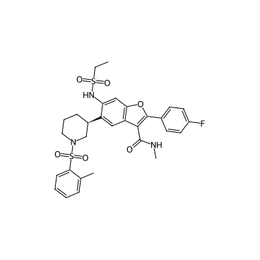 CCS(=O)(=O)Nc1cc2oc(-c3ccc(F)cc3)c(C(=O)NC)c2cc1[C@@H]1CCCN(S(=O)(=O)c2ccccc2C)C1